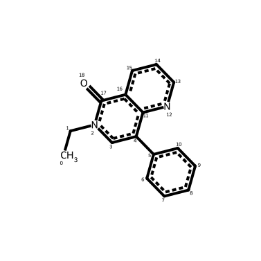 CCn1cc(-c2ccccc2)c2ncccc2c1=O